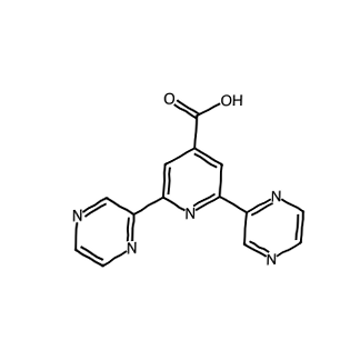 O=C(O)c1cc(-c2cnccn2)nc(-c2cnccn2)c1